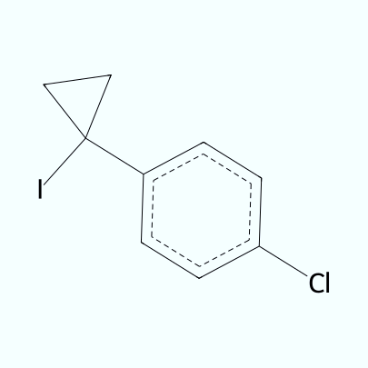 Clc1ccc(C2(I)CC2)cc1